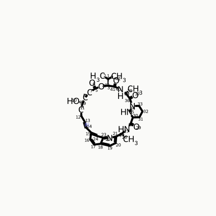 CC(C)[C@@H]1OC(=O)CC[C@@H](O)CC/C=C/c2ccc3ccc(nc3c2)[C@@H](C)NC(=O)C2CCCN(N2)C(=O)[C@H](C)NC1=O